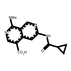 CNc1ncc(C(=O)O)c2cc(NC(=O)C3CC3)ncc12